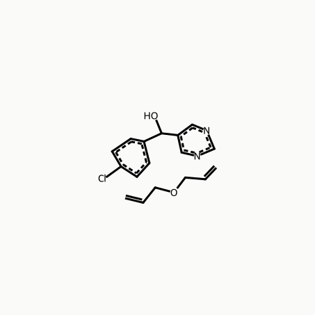 C=CCOCC=C.OC(c1ccc(Cl)cc1)c1cncnc1